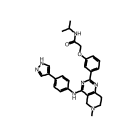 CC(C)NC(=O)COc1cccc(-c2nc3c(c(Nc4ccc(-c5cn[nH]c5)cc4)n2)CN(C)CC3)c1